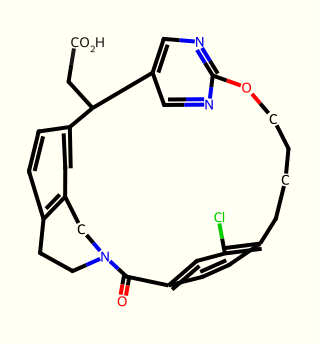 O=C(O)CC1c2cnc(nc2)OCCCCc2ccc(cc2Cl)C(=O)N2CCc3ccc1cc3C2